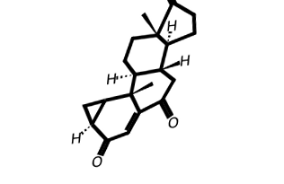 C[C@]12CC[C@H]3[C@@H](CC(=O)C4=CC(=O)[C@H]5CC5[C@@]43C)[C@@H]1CCC2=O